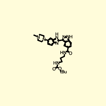 CN1CCN(c2ccc3nc(-c4n[nH]c5ccc(C(=O)NCCCNC(=O)OC(C)(C)C)cc45)[nH]c3c2)CC1